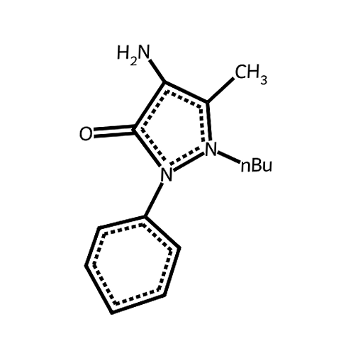 CCCCn1c(C)c(N)c(=O)n1-c1ccccc1